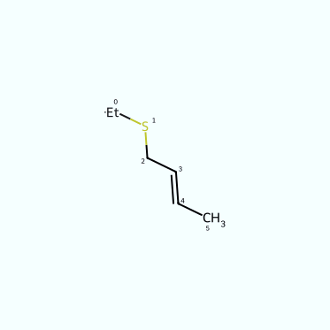 C[CH]SC/C=C/C